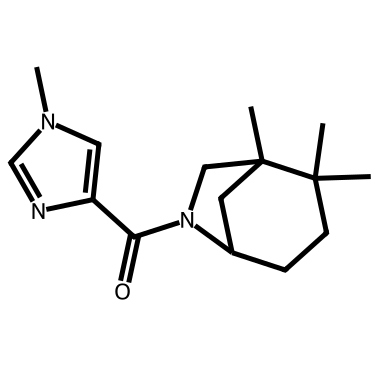 Cn1cnc(C(=O)N2CC3(C)CC2CCC3(C)C)c1